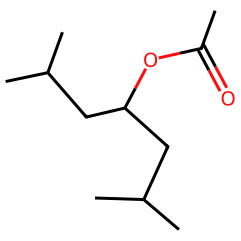 CC(=O)OC(CC(C)C)CC(C)C